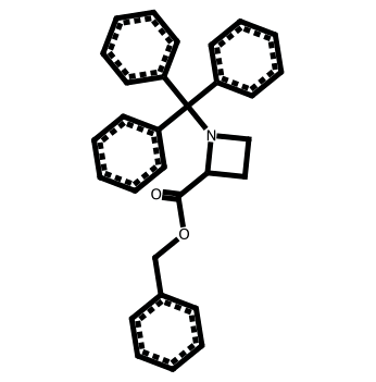 O=C(OCc1ccccc1)C1CCN1C(c1ccccc1)(c1ccccc1)c1ccccc1